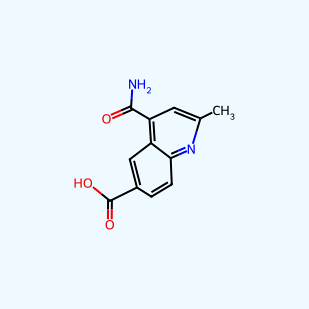 Cc1cc(C(N)=O)c2cc(C(=O)O)ccc2n1